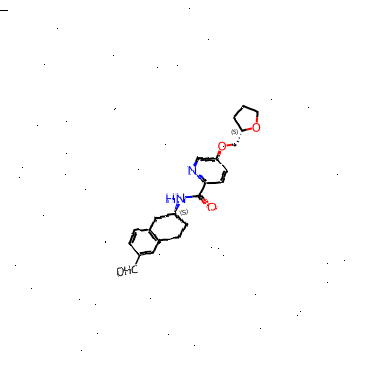 O=Cc1ccc2c(c1)CC[C@H](NC(=O)c1ccc(OC[C@@H]3CCCO3)cn1)C2